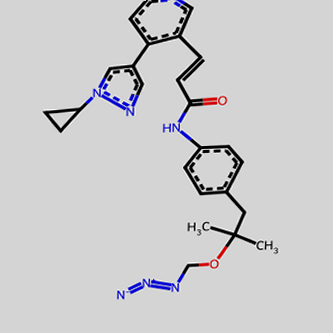 CC(C)(Cc1ccc(NC(=O)/C=C/c2cnccc2-c2cnn(C3CC3)c2)cc1)OCN=[N+]=[N-]